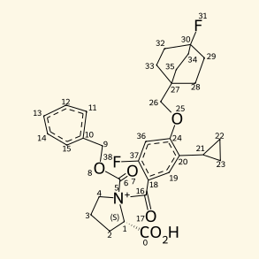 O=C(O)[C@@H]1CCC[N+]1(C(=O)OCc1ccccc1)C(=O)c1cc(C2CC2)c(OCC23CCC(F)(CC2)CC3)cc1F